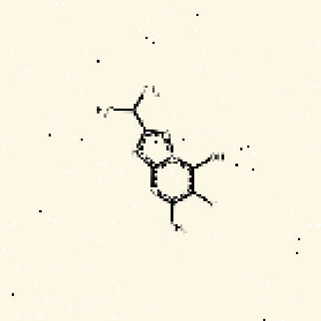 Cc1nc2nc(C(C)C)nn2c(O)c1Cl